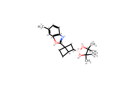 Cc1ccc2nc(C34CCC3C(B3OC(C)(C)C(C)(C)O3)C4)oc2c1